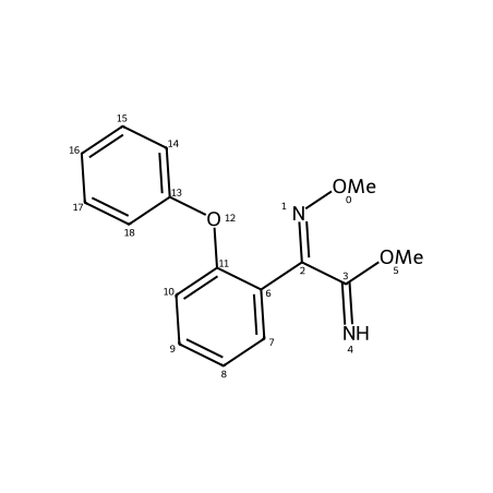 CON=C(C(=N)OC)c1ccccc1Oc1ccccc1